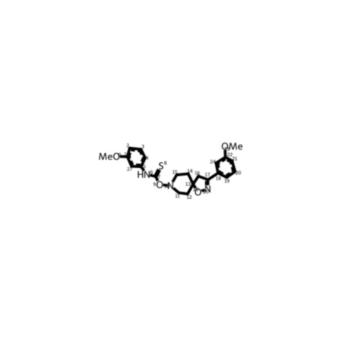 COc1cccc(NC(=S)ON2CCC3(CC2)CC(c2cccc(OC)c2)=NO3)c1